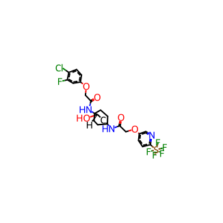 O=C(COc1ccc(S(F)(F)(F)(F)F)nc1)NC12CCC(NC(=O)COc3ccc(Cl)c(F)c3)(CC1)[C@@H](O)C2